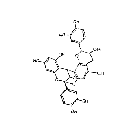 Oc1cc(O)c2c(c1)O[C@@]1(c3ccc(O)c(O)c3)Oc3cc(O)c4c(c3C2C1O)OC(c1ccc(O)c(O)c1)C(O)C4